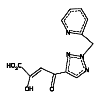 O=C(O)/C(O)=C/C(=O)c1cnn(Cc2ccccn2)n1